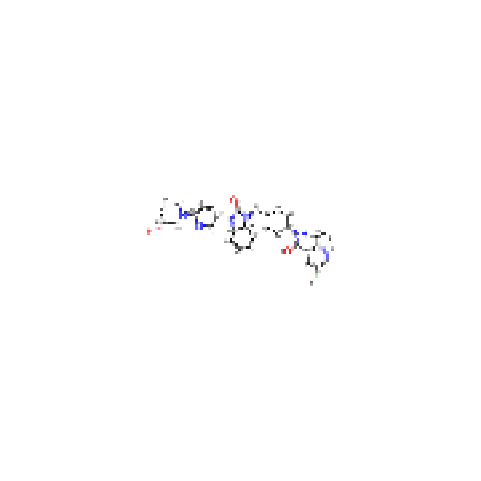 Cc1ncc(Cl)cc1C(=O)NC1CCC(Cn2c(=O)n(-c3ccc(N4CCCC(O)C4)nc3)c3ccccc32)CC1